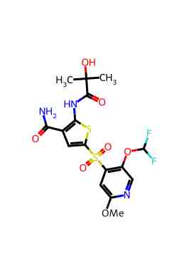 COc1cc(S(=O)(=O)c2cc(C(N)=O)c(NC(=O)C(C)(C)O)s2)c(OC(F)F)cn1